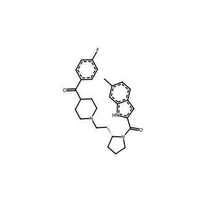 Cc1ccc2cc(C(=O)N3CCC[C@@H]3CCN3CCC(C(=O)c4ccc(F)cc4)CC3)[nH]c2c1